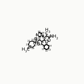 CC(C(N)=O)N(C(=O)C(Cc1ccccc1)CS(=O)(=O)N1CCCN(C)CC1)n1ccnc1